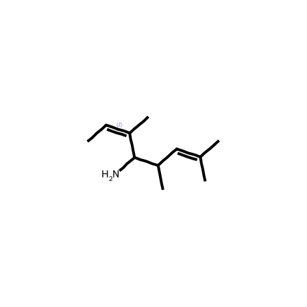 C/C=C(/C)C(N)C(C)C=C(C)C